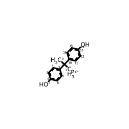 CC(C)(c1ccc(O)cc1)c1ccc(O)cc1.[P]